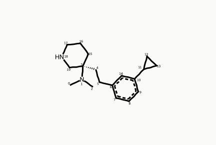 CN(C)[C@]1(CCc2cccc(C3CC3)c2)CCCNC1